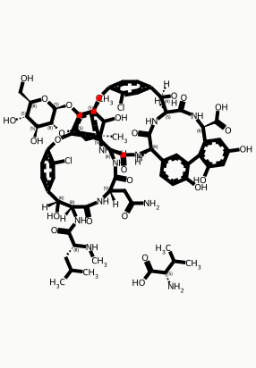 CC(C)[C@H](N)C(=O)O.CN[C@H](CC(C)C)C(=O)N[C@H]1C(=O)N[C@@H](CC(N)=O)C(=O)N[C@H]2C(=O)N[C@H]3C(=O)N[C@H](C(=O)N[C@@H](C(=O)O)c4cc(O)cc(O)c4-c4cc3ccc4O)[C@H](O)c3ccc(c(Cl)c3)Oc3cc2cc(c3O[C@@H]2O[C@H](CO)[C@@H](O)[C@H](O)[C@H]2O[C@H]2C[C@](C)(N)C(O)[C@H](C)O2)Oc2ccc(cc2Cl)[C@H]1O